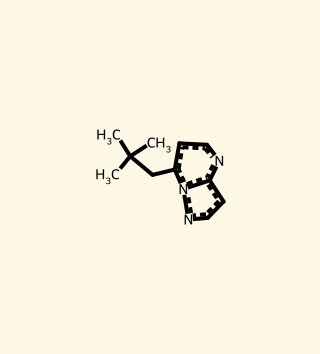 CC(C)(C)Cc1ccnc2ccnn12